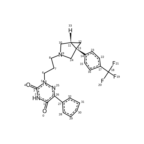 O=c1[nH]c(=O)n(CCCN2C[C@@H]3C[C@]3(c3ccc(C(F)(F)F)cc3)C2)nc1-c1ccccc1